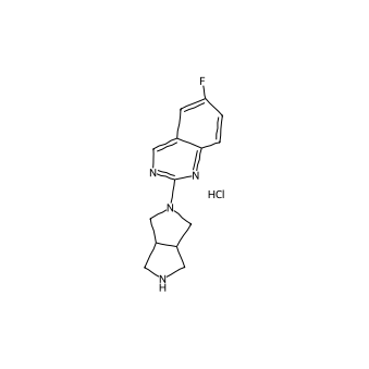 Cl.Fc1ccc2nc(N3CC4CNCC4C3)ncc2c1